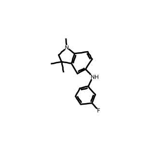 CN1CC(C)(C)c2cc(Nc3cccc(F)c3)ccc21